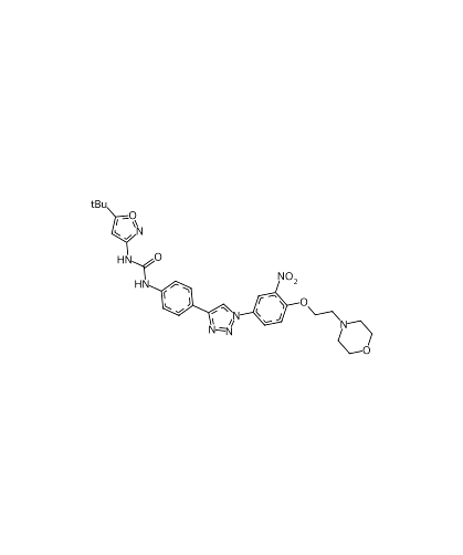 CC(C)(C)c1cc(NC(=O)Nc2ccc(-c3cn(-c4ccc(OCCN5CCOCC5)c([N+](=O)[O-])c4)nn3)cc2)no1